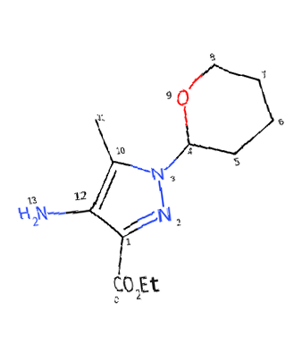 CCOC(=O)c1nn(C2CCCCO2)c(C)c1N